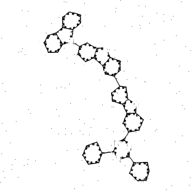 c1ccc(-c2nc(-c3ccccc3)nc(-c3ccc4oc5cc(-c6ccc7sc8cc(-n9c%10ccccc%10c%10ccccc%109)ccc8c7c6)ccc5c4c3)n2)cc1